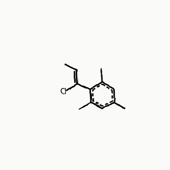 CC=C(Cl)c1c(C)cc(C)cc1C